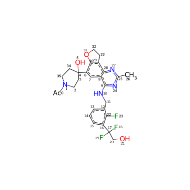 CC(=O)N1CCC(O)(c2cc3c(NCc4cccc(C(F)(F)CO)c4F)nc(C)nc3c3c2OCC3)CC1